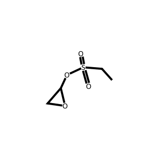 CCS(=O)(=O)OC1CO1